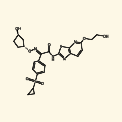 O=C(Nc1nc2ccc(OCCO)nc2s1)/C(=N/O[C@@H]1CC[C@@H](O)C1)c1ccc(S(=O)(=O)C2CC2)cc1